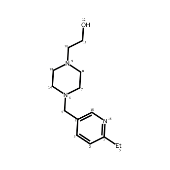 CCc1ccc(CN2CCN(CCO)CC2)cn1